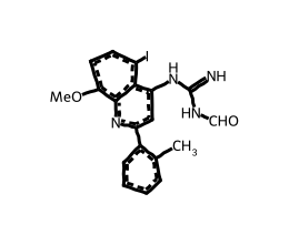 COc1ccc(I)c2c(NC(=N)NC=O)cc(-c3ccccc3C)nc12